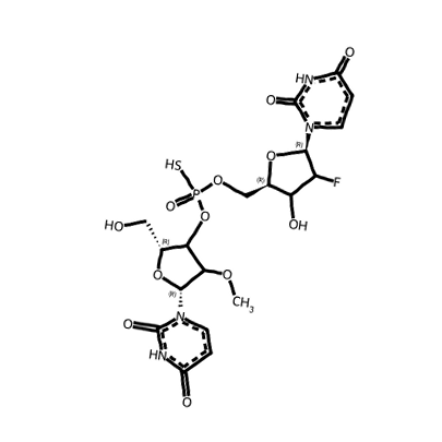 COC1C(OP(=O)(S)OC[C@H]2O[C@@H](n3ccc(=O)[nH]c3=O)C(F)C2O)[C@@H](CO)O[C@H]1n1ccc(=O)[nH]c1=O